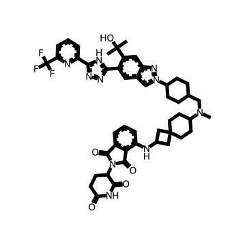 CN(CC1CCC(n2cc3cc(-c4nnc(-c5cccc(C(F)(F)F)n5)[nH]4)c(C(C)(C)O)cc3n2)CC1)C1CCC2(CC1)CC(Nc1cccc3c1C(=O)N(C1CCC(=O)NC1=O)C3=O)C2